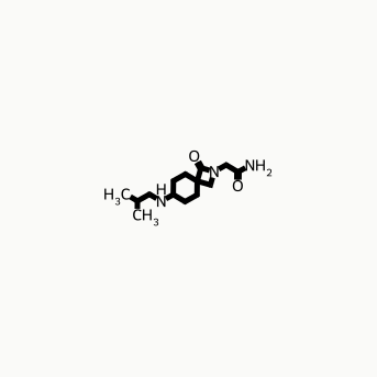 CC(C)CNC1CCC2(CC1)CN(CC(N)=O)C2=O